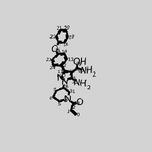 C=CC(=O)N1CCCC(n2nc(-c3ccc(Oc4ccccc4)cc3)c(C(N)O)c2N)C1